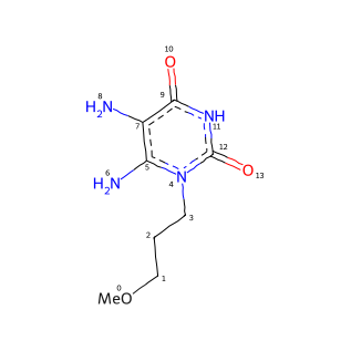 COCCCn1c(N)c(N)c(=O)[nH]c1=O